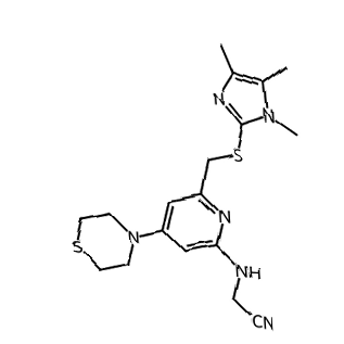 Cc1nc(SCc2cc(N3CCSCC3)cc(NCC#N)n2)n(C)c1C